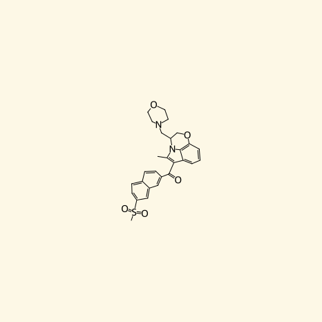 Cc1c(C(=O)c2ccc3ccc(S(C)(=O)=O)cc3c2)c2cccc3c2n1C(CN1CCOCC1)CO3